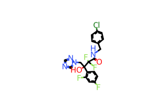 O=C(NCc1ccc(Cl)cc1)C(F)(F)C(O)(Cn1cncn1)c1ccc(F)cc1F